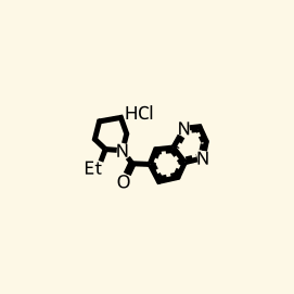 CCC1CCCCN1C(=O)c1ccc2nccnc2c1.Cl